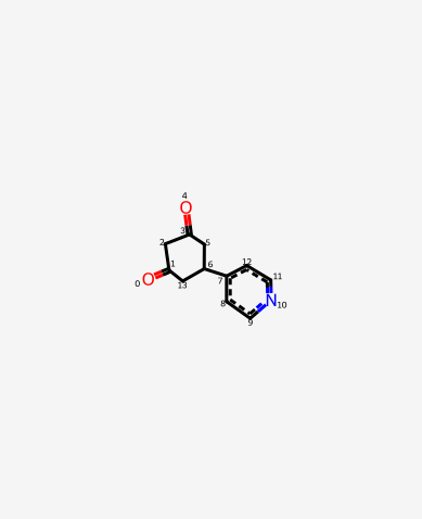 O=C1CC(=O)CC(c2ccncc2)C1